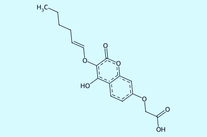 CCCC/C=C/Oc1c(O)c2ccc(OCC(=O)O)cc2oc1=O